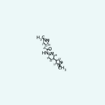 Cn1cc(CC(=O)Nc2ccc(-c3cnn(C)c3)cn2)cn1